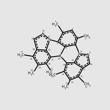 Cc1cc(C)c2c3c1-n1ncc4c(C)c(C)c(C)c(c41)B3c1c(C)c(C)c(C)c3cnn-2c13